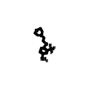 Nc1ccc(OCCN2CCOCC2)c(C(F)(F)F)c1